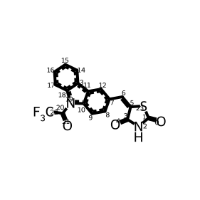 O=C1NC(=O)/C(=C\c2ccc3c(c2)c2ccccc2n3C(=O)C(F)(F)F)S1